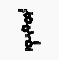 CCOC(=O)c1cc2cc(-c3cccc(C(=O)NCc4ccc(OC)cc4OC)n3)ccc2[nH]1